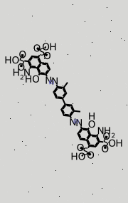 Cc1cc(-c2ccc(/N=N/c3ccc4c(S(=O)(=O)O)cc(S(=O)(=O)O)c(N)c4c3O)c(C)c2)ccc1/N=N/c1ccc2c(S(=O)(=O)O)cc(S(=O)(=O)O)c(N)c2c1O